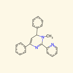 CN1C(c2ccccn2)=NC(c2ccccc2)=CC1c1ccccc1